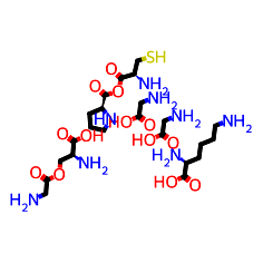 NCC(=O)O.NCC(=O)O.NCC(=O)OC[C@H](N)C(=O)O.NCCCC[C@H](N)C(=O)O.N[C@@H](CS)C(=O)OC(=O)[C@@H]1CCCN1